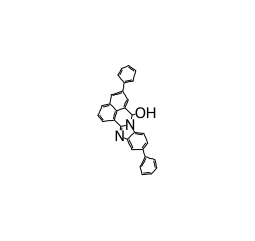 OC1c2cc(-c3ccccc3)cc3cccc(c23)-c2nc3cc(-c4ccccc4)ccc3n21